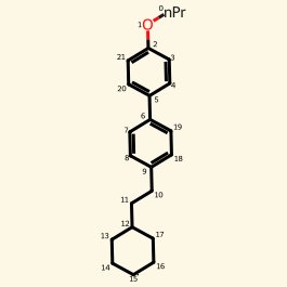 CCCOc1ccc(-c2ccc(CCC3CC[CH]CC3)cc2)cc1